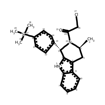 C[C@H]1Cc2c([nH]c3ccccc23)[C@H](c2ccc([Si](C)(C)C)cc2)N1C(=O)CCl